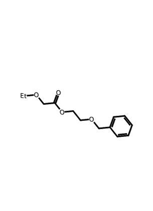 CCOCC(=O)OCCOCc1ccccc1